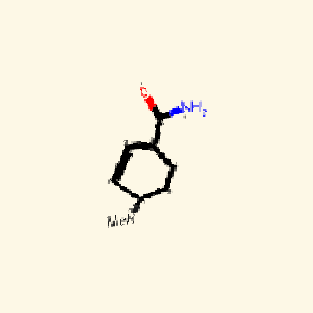 CNC1C=CC(C(N)=O)CC1